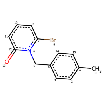 Cc1ccc(Cn2c(Br)cccc2=O)cc1